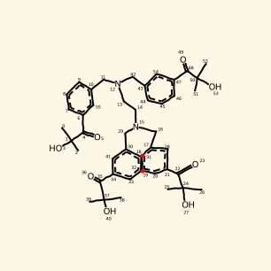 CC(C)(O)C(=O)c1cccc(CN(CCN(Cc2cccc(C(=O)C(C)(C)O)c2)Cc2cccc(C(=O)C(C)(C)O)c2)Cc2cccc(C(=O)C(C)(C)O)c2)c1